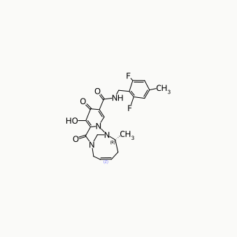 Cc1cc(F)c(CNC(=O)c2cn3c(c(O)c2=O)C(=O)N2C/C=C\C[C@@H](C)N3C2)c(F)c1